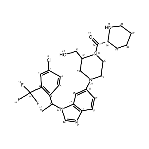 CC(c1ccc(Cl)cc1C(F)(F)F)n1cnc2ccc(N3CCN(C(=O)[C@H]4CCCCN4)C(CO)C3)cc21